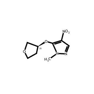 Cn1ncc([N+](=O)[O-])c1O[C@H]1CCOC1